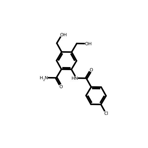 NC(=O)c1cc(CO)c(CO)cc1NC(=O)c1ccc(Cl)cc1